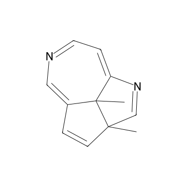 CC12C=CC3=CN=CC=C(N=C1)C32C